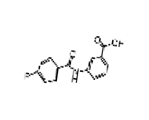 O=C(O)c1cccc(NC(=O)c2ccc(F)cc2)c1